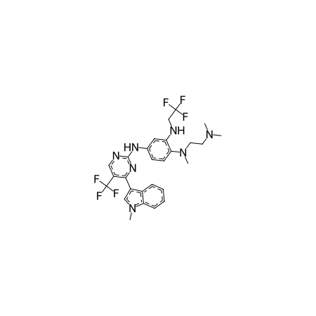 CN(C)CCN(C)c1ccc(Nc2ncc(C(F)(F)F)c(-c3cn(C)c4ccccc34)n2)cc1NCC(F)(F)F